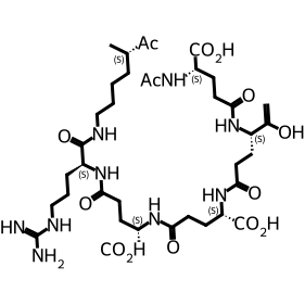 C=C(O)[C@H](CCC(=O)N[C@@H](CCC(=O)N[C@@H](CCC(=O)N[C@@H](CCCNC(=N)N)C(=O)NCCCC[C@H](C)C(C)=O)C(=O)O)C(=O)O)NC(=O)CC[C@H](NC(C)=O)C(=O)O